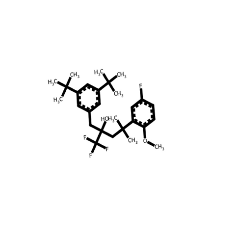 COc1ccc(F)cc1C(C)(C)CC(O)(Cc1cc(C(C)(C)C)cc(C(C)(C)C)c1)C(F)(F)F